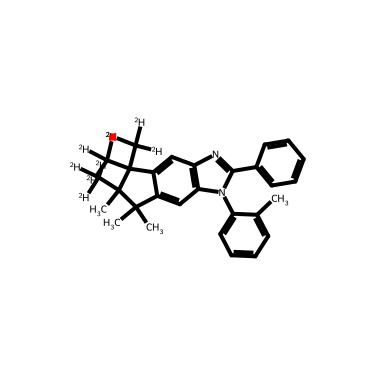 [2H]C([2H])([2H])C1(C)C(C)(C)c2cc3c(cc2C1(C([2H])([2H])[2H])C([2H])([2H])[2H])nc(-c1ccccc1)n3-c1ccccc1C